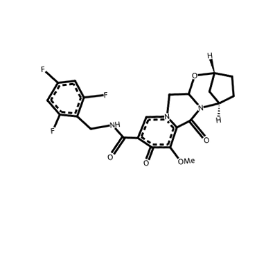 COc1c2n(cc(C(=O)NCc3c(F)cc(F)cc3F)c1=O)CC1O[C@@H]3CC[C@H](C3)N1C2=O